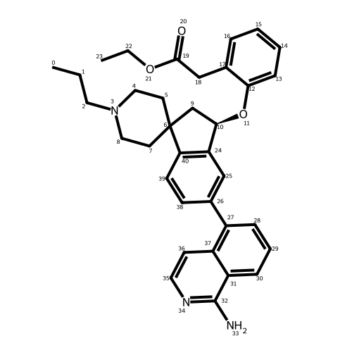 CCCN1CCC2(CC1)C[C@@H](Oc1ccccc1CC(=O)OCC)c1cc(-c3cccc4c(N)nccc34)ccc12